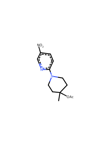 CC(=O)OC1(C)CCN(c2ccc([N+](=O)[O-])cn2)CC1